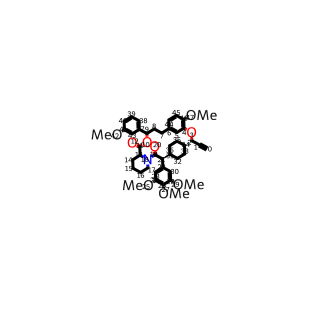 C#CCOc1cc(CCC(OC(=O)C2CCCCN2C(=O)[C@H](c2cc(OC)c(OC)c(OC)c2)C2CCCCC2)c2cccc(OC)c2)ccc1OC